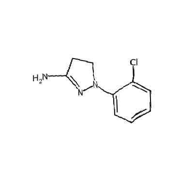 NC1=NN(c2ccccc2Cl)CC1